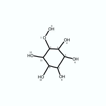 OOC1C(O)C(O)C(O)C(O)C1O